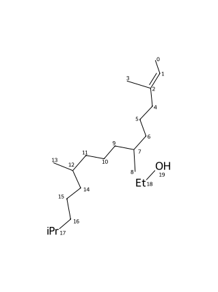 C/C=C(\C)CCCC(C)CCCC(C)CCCC(C)C.CCO